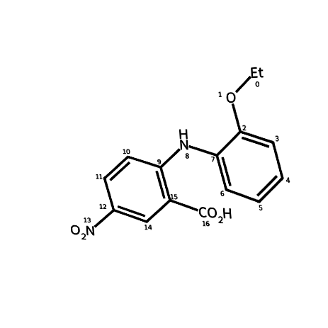 CCOc1ccccc1Nc1ccc([N+](=O)[O-])cc1C(=O)O